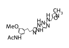 COc1cc(CCc2cc(Nc3ccnc(NCc4cc(C)no4)n3)[nH]n2)cc(NC(C)=O)c1